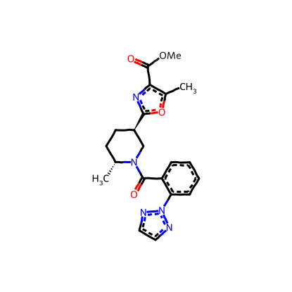 COC(=O)c1nc([C@@H]2CC[C@@H](C)N(C(=O)c3ccccc3-n3nccn3)C2)oc1C